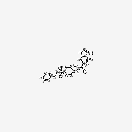 O=C(NCC1CCN(S(=O)(=O)CCc2ccccc2)CC1)c1ccc2c(c1)CCN2